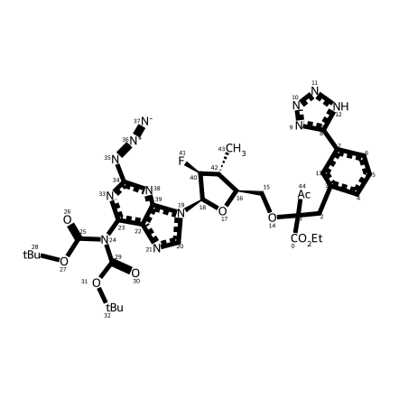 CCOC(=O)C(Cc1cccc(-c2nnn[nH]2)c1)(OC[C@H]1O[C@@H](n2cnc3c(N(C(=O)OC(C)(C)C)C(=O)OC(C)(C)C)nc(N=[N+]=[N-])nc32)[C@@H](F)[C@@H]1C)C(C)=O